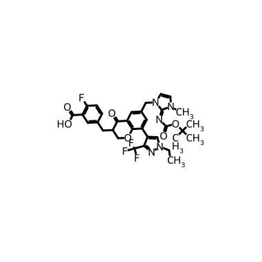 CCn1cc(-c2cc(Cn3ccn(C)c3=NC(=O)OC(C)(C)C)cc3c2OCC(Cc2ccc(F)c(C(=O)O)c2)C3=O)c(C(F)(F)F)n1